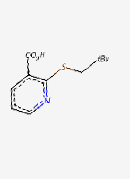 CC(C)(C)CSc1ncccc1C(=O)O